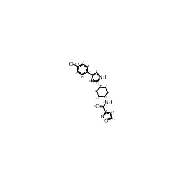 O=C(N[C@H]1CC[C@@H](c2nc(-c3ccc(Cl)cc3)c[nH]2)CC1)c1ccon1